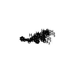 CCC(C)C(C(CC(=O)N1CCC[C@H]1C(OC)C(C)C(=O)NC(Cc1ccccc1)c1nc(C(=O)OCCOC2CCCCO2)cs1)OC)N(C)C(=O)C(NC(=O)C(C(C)C)N(C)C)C(C)C